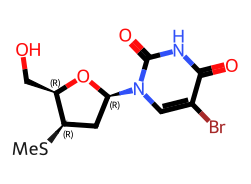 CS[C@@H]1C[C@H](n2cc(Br)c(=O)[nH]c2=O)O[C@@H]1CO